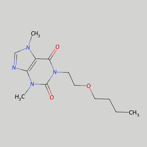 CCCCOCCn1c(=O)c2c(ncn2C)n(C)c1=O